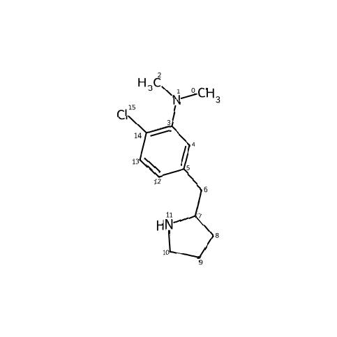 CN(C)c1cc(CC2CCCN2)ccc1Cl